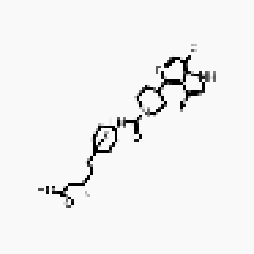 C[C@@H](CCC12CCC(NC(=O)N3CCC(c4ncc(F)c5[nH]cc(F)c45)CC3)(CC1)CC2)CC(=O)O